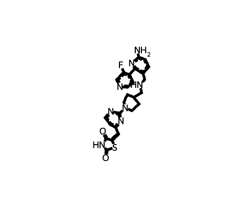 Nc1ccc(CNCC2CCN(c3nccc(C=C4SC(=O)NC4=O)n3)CC2)c(-c2ccncc2F)n1